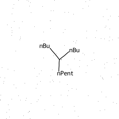 CCCCC[C](CCCC)CCCC